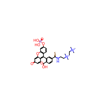 C[N+](C)(C)CC[N+](C)(C)CCNC(=S)c1ccc(C(=O)O)c(-c2c3ccc(=O)cc-3oc3cc(OP(=O)(O)O)ccc23)c1